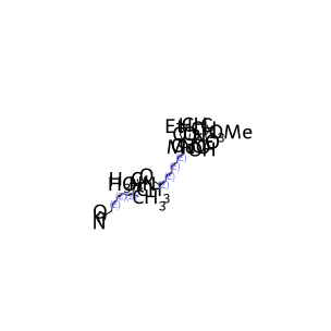 CCC1(C)OCC(C(=O)N(C)C(C(=O)OC)C(C)OC)(N(O)C(=O)/C=C/C=C/C=C/C=C\CNC(=O)C(C)(C)C(O)\C(C)=C/C=C\C=C\Cc2cnco2)O1